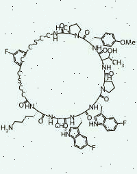 COc1ccc(C[C@@H]2NC(=O)[C@@H]([C@H](C)O)NC(=O)[C@H]3CCCN3C(=O)[C@H](Cc3c[nH]c4ccc(F)cc34)NC(=O)[C@H](Cc3c[nH]c4ccc(F)cc34)NC(=O)[C@@H](C)NC(=O)[C@H](CCCCN)NC(=O)CCSCc3cc(F)cc(c3)CSCCNC(=O)[C@]3(C)CCCN3C2=O)cc1